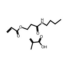 C=C(C)C(=O)O.C=CC(=O)OCCC(=O)NCCCC